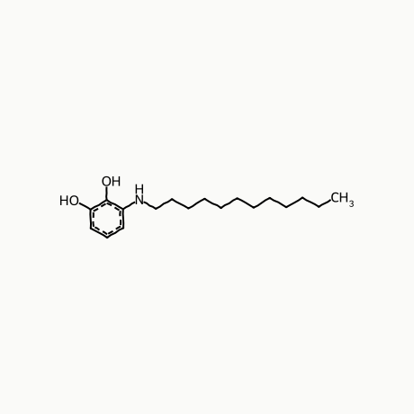 CCCCCCCCCCCCNc1cccc(O)c1O